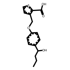 CCCC(O)c1ccc(OCc2ccsc2C(=O)O)cc1